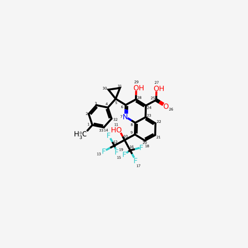 Cc1ccc(C2(c3nc4c(C(O)(C(F)(F)F)C(F)(F)F)cccc4c(C(=O)O)c3O)CC2)cc1